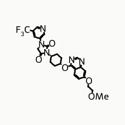 COCCOc1ccc2c(O[C@H]3CC[C@H](N4C(=O)CN(c5cncc(C(F)(F)F)c5)C4=O)CC3)ncnc2c1